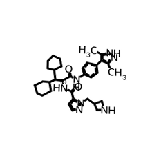 Cc1n[nH]c(C)c1-c1ccc(NC(=O)[C@@H](NC(=O)c2ccnn2CC2CNC2)C(C2CCCCC2)C2CCCCC2)cc1